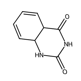 O=C1NC(=O)C2C=CC=CC2N1